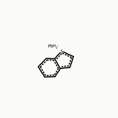 [PbH2].c1ccc2sccc2c1